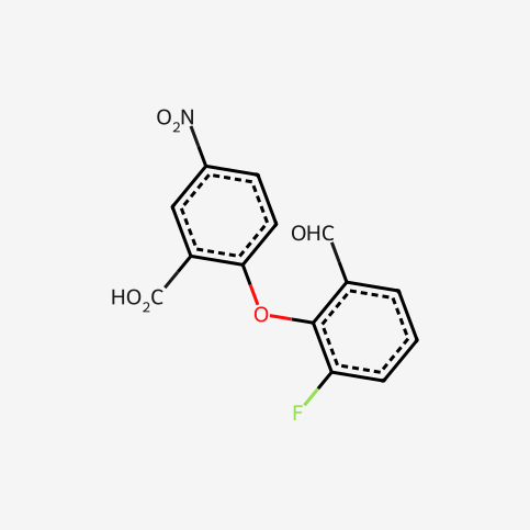 O=Cc1cccc(F)c1Oc1ccc([N+](=O)[O-])cc1C(=O)O